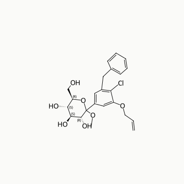 C=CCOc1cc(C2(OC)O[C@H](CO)[C@@H](O)[C@H](O)[C@H]2O)cc(Cc2ccccc2)c1Cl